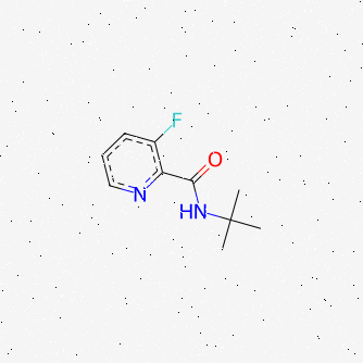 CC(C)(C)NC(=O)c1ncccc1F